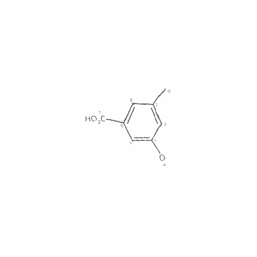 Cc1cc([O])cc(C(=O)O)c1